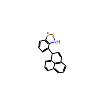 C1=CC(c2cccc3c2NSS3)c2cccc3cccc1c23